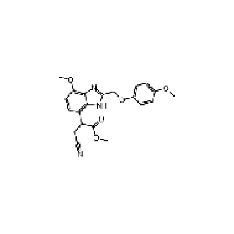 COC(=O)C(CC#N)c1ccc(OC)c2nc(COc3ccc(OC)cc3)[nH]c12